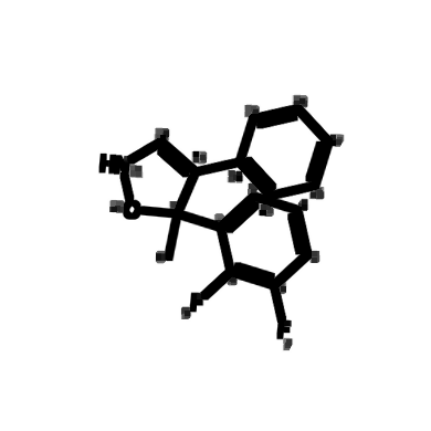 CC1(c2cccc(F)c2F)ONC=C1c1ccccc1